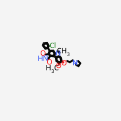 COc1cc2c3c4c(c(-c5ccccc5Cl)cc3n(C)c2cc1OCCCN1CCCC1)C(=O)NC4=O